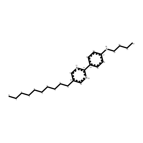 CCCCCCCCCCc1cnc(-c2ccc(SCCCC)cc2)nc1